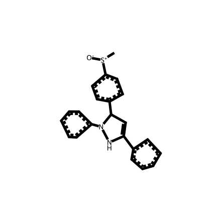 C[S+]([O-])c1ccc(C2C=C(c3ccccc3)NN2c2ccccc2)cc1